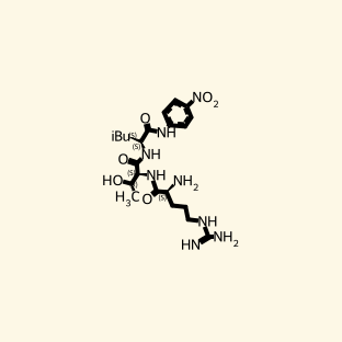 CC[C@H](C)[C@H](NC(=O)[C@@H](NC(=O)[C@@H](N)CCCNC(=N)N)[C@@H](C)O)C(=O)Nc1ccc([N+](=O)[O-])cc1